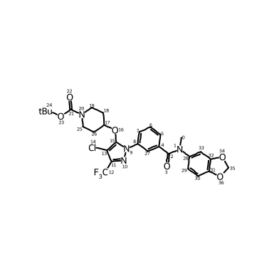 CN(C(=O)c1cccc(-n2nc(C(F)(F)F)c(Cl)c2OC2CCN(C(=O)OC(C)(C)C)CC2)c1)c1ccc2c(c1)OCO2